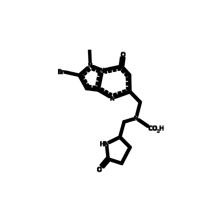 Cn1c(Br)cc2nc(CN(CC3CCC(=O)N3)C(=O)O)cc(=O)n21